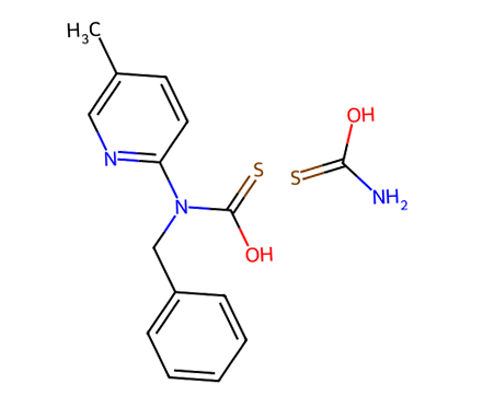 Cc1ccc(N(Cc2ccccc2)C(O)=S)nc1.NC(O)=S